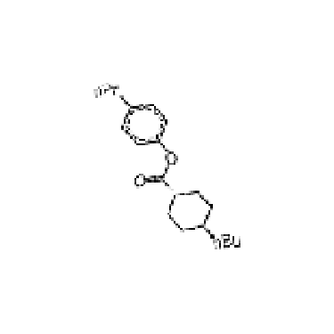 CCCC[C@H]1CC[C@H](C(=O)Oc2ccc(CCC)cc2)CC1